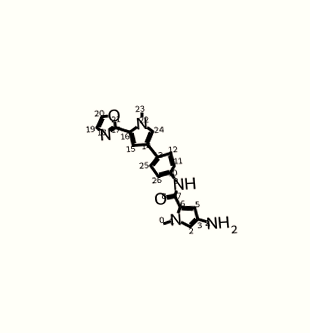 Cn1cc(N)cc1C(=O)Nc1ccc(-c2cc(-c3ncco3)n(C)c2)cc1